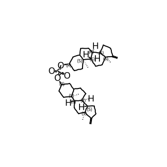 C=C1CC[C@H]2[C@@H]3CCC4C[C@H](OS(=O)(=O)O[C@@H]5CC[C@@]6(C)C(CC[C@@H]7[C@@H]6CC[C@]6(C)C(=C)CC[C@@H]76)C5)CC[C@]4(C)[C@H]3CC[C@]12C